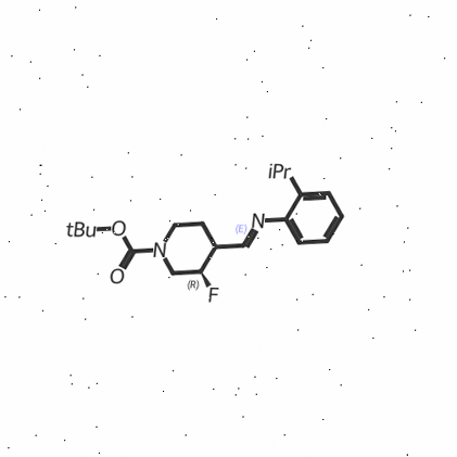 CC(C)c1ccccc1/N=C/C1CCN(C(=O)OC(C)(C)C)C[C@@H]1F